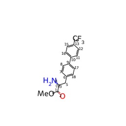 COC(=O)[C@@H](N)Cc1ccc(-c2ccc(C(F)(F)F)cc2)cc1